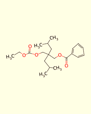 CCOC(=O)OCC(COC(=O)c1ccccc1)(CC(C)C)CC(C)C